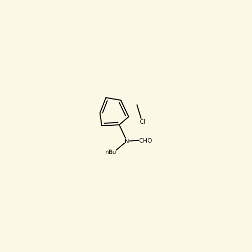 CCCCN(C=O)c1ccccc1.CCl